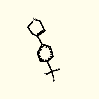 FC(F)(F)c1ccc(C2=CC[N]CC2)cc1